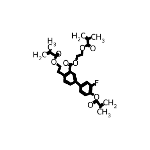 C=C(C)C(=O)OCCOC(=O)c1cc(-c2ccc(OC(=O)C(=C)C)c(F)c2)ccc1CCOC(=O)C(=C)C